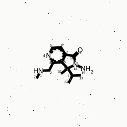 CNCc1nccc2c1C(C)(C(C)C)N(N)C2=O